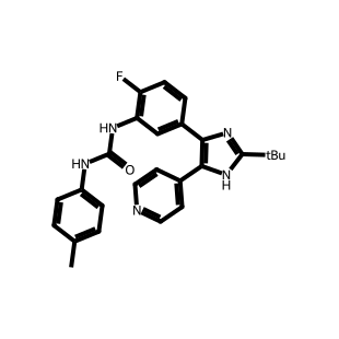 Cc1ccc(NC(=O)Nc2cc(-c3nc(C(C)(C)C)[nH]c3-c3ccncc3)ccc2F)cc1